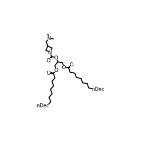 CCCCCCCCCCCCCCCCCC(=O)OCC(COC(=O)CCCCCCCCCCCCCCCCC)OC(=O)N1CC(CN(C)C)C1